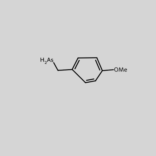 COc1ccc(C[AsH2])cc1